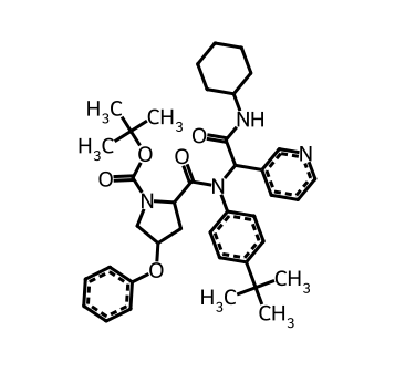 CC(C)(C)OC(=O)N1CC(Oc2ccccc2)CC1C(=O)N(c1ccc(C(C)(C)C)cc1)C(C(=O)NC1CCCCC1)c1cccnc1